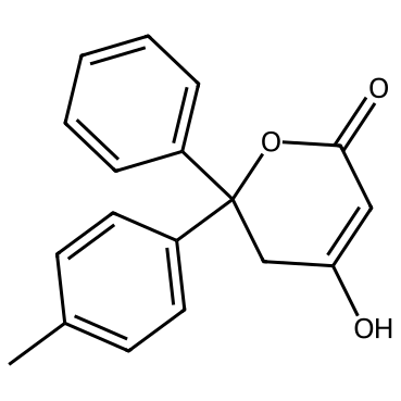 Cc1ccc(C2(c3ccccc3)CC(O)=CC(=O)O2)cc1